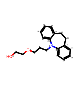 OCCOCCCN1c2ccccc2CCc2ccccc21